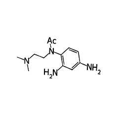 CC(=O)N(CCN(C)C)c1ccc(N)cc1N